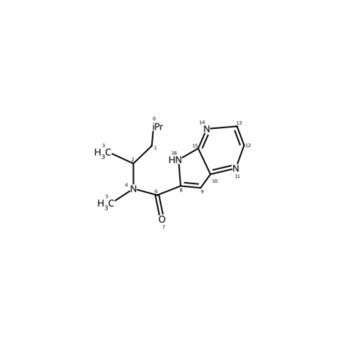 CC(C)CC(C)N(C)C(=O)c1cc2nccnc2[nH]1